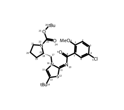 COc1ccc(Cl)cc1C(=O)N=c1sc(C(C)(C)C)cn1C[C@@H]1CCCN1C(=O)OC(C)(C)C